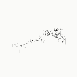 CC(C)(COP(=O)(O)OP(=O)(O)OC[C@H]1O[C@@H](n2cnc3c(N)ncnc32)[C@H](O)[C@@H]1OP(=O)(O)O)[C@@H](O)C(=O)NCCC(=O)NCCSC(=O)CC(O)CCO